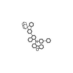 c1ccc(-c2ccc(N(c3ccc(-c4ccc5c(c4)-c4ccccc4C54C5CC6CC(C5)CC4C6)c4ccccc34)c3cccc4oc5ccccc5c34)cc2)cc1